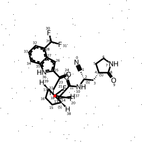 N#C[C@H](C[C@@H]1CCNC1=O)NC(=O)[C@@H]1[C@@H]2CC[C@@H](CC2(F)F)N1C(=O)c1cc2c(C(F)F)cccc2[nH]1